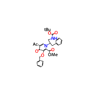 COC(=O)c1c(OCc2ccccc2)c(=O)c(C(C)=O)cn1C(CNC(=O)OC(C)(C)C)Cc1ccccc1